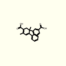 CC1=C(C(=O)O)CC(C)(c2cccc(C(=O)O)c2)C(c2ccccc2)=C1